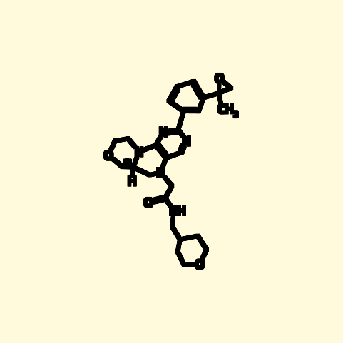 CC1(c2cccc(-c3ncc4c(n3)N3CCOC[C@H]3CN4CC(=O)NCC3CCOCC3)c2)CO1